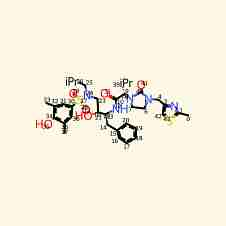 Cc1nc(CN2CCN([C@H](C(=O)N[C@@H](Cc3ccccc3)[C@@H](O)CN(CC(C)C)S(=O)(=O)c3cc(C)c(O)c(C)c3)C(C)C)C2=O)cs1